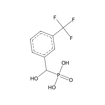 O=P(O)(O)C(O)c1cccc(C(F)(F)F)c1